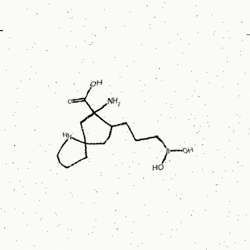 NC1(C(=O)O)CC2(CCCN2)CC1CCCB(O)O